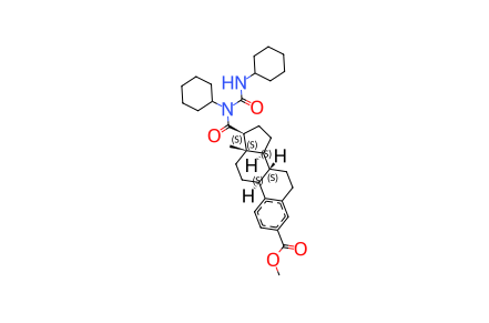 COC(=O)c1ccc2c(c1)CC[C@@H]1[C@@H]2CC[C@]2(C)[C@@H](C(=O)N(C(=O)NC3CCCCC3)C3CCCCC3)CC[C@@H]12